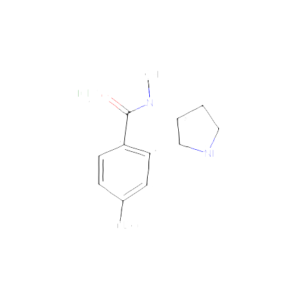 CCCCCCCCCCc1ccc(C(=O)N(C)[C@@H]2CCNC2)cc1.Cl